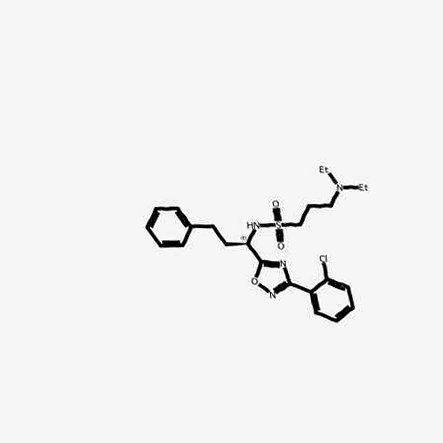 CCN(CC)CCCS(=O)(=O)N[C@H](CCc1ccccc1)c1nc(-c2ccccc2Cl)no1